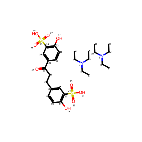 CCN(CC)CC.CCN(CC)CC.O=C(CCc1ccc(O)c(S(=O)(=O)O)c1)c1ccc(O)c(S(=O)(=O)O)c1